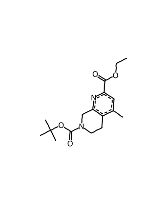 CCOC(=O)c1cc(C)c2c(n1)CN(C(=O)OC(C)(C)C)CC2